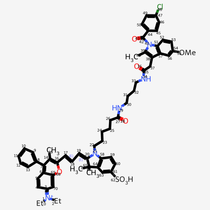 CC[N+](CC)=c1ccc2c(-c3ccccc3)c(C)c(/C=C/C=C3/N(CCCCCC(=O)NCCCCNC(=O)Cc4c(C)n(C(=O)c5ccc(Cl)cc5)c5ccc(OC)cc45)c4ccc(S(=O)(=O)O)cc4C3(C)C)oc-2c1